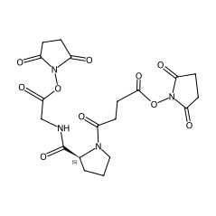 O=C(CCC(=O)N1CCC[C@H]1C(=O)NCC(=O)ON1C(=O)CCC1=O)ON1C(=O)CCC1=O